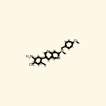 COc1ccc(CN(C)c2cc3ncc(-c4cc(N)c(Cl)cc4C)cc3cn2)cc1